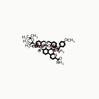 COc1ccc(CN(Cc2ccc(OC)cc2)S(=O)(=O)c2c(S(=O)(=O)C3CN(C(=O)OC(C)(C)C)C3)ccc(-c3ccc(C(N)=O)nc3N)c2-c2nnn(Cc3ccc(OC)cc3)n2)cc1